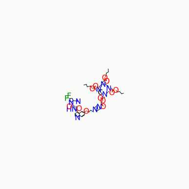 CCCCOC(=O)CN1CCN(CC(=O)OCCCC)CCN(CC(=O)OCC(=O)N2CCN(CCCOc3ccc4nccc(C(=O)NCC(=O)N5CC(F)(F)CC5C#N)c4c3)CC2)CCN(CC(=O)OCCCC)CC1